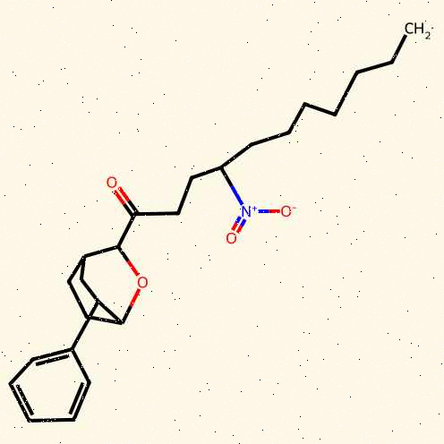 [CH2]CCCCCCC(CCC(=O)[C]1OC2CCC1CC2c1ccccc1)[N+](=O)[O-]